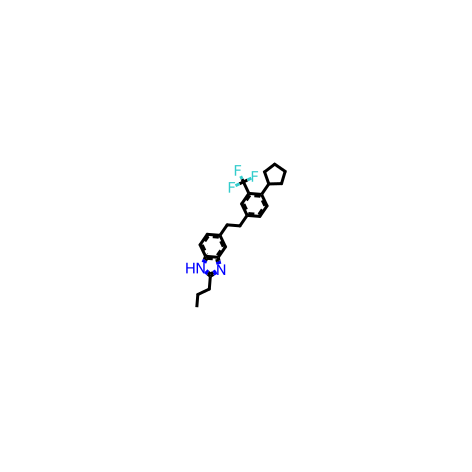 CCCc1nc2cc(CCc3ccc(C4CCCC4)c(C(F)(F)F)c3)ccc2[nH]1